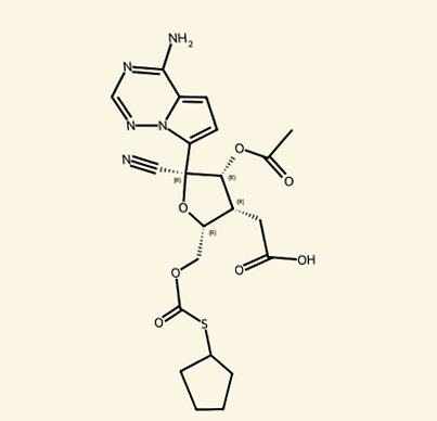 CC(=O)O[C@@H]1[C@H](CC(=O)O)[C@H](COC(=O)SC2CCCC2)O[C@@]1(C#N)c1ccc2c(N)ncnn12